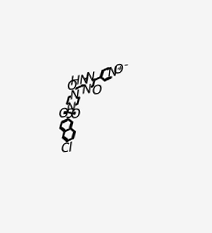 O=C(c1nc(=O)c(-c2cc[n+]([O-])cc2)n[nH]1)N1CCN(S(=O)(=O)c2ccc3cc(Cl)ccc3c2)CC1